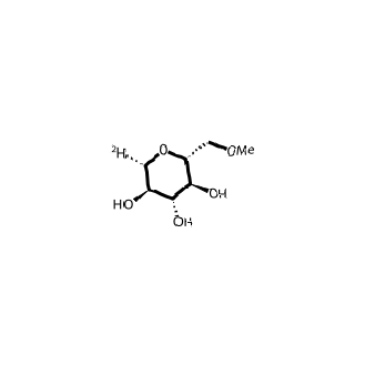 [2H][C@@H]1O[C@H](COC)[C@@H](O)[C@H](O)[C@H]1O